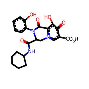 O=C(O)c1cn2c(c(O)c1=O)C(=O)N(c1ccccc1O)C(C(=O)NC1CCCCC1)C2